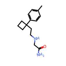 Cc1ccc(C2(CCNCC(N)=O)CCC2)cc1